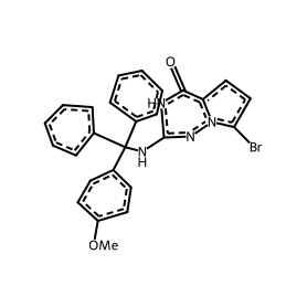 COc1ccc(C(Nc2nn3c(Br)ccc3c(=O)[nH]2)(c2ccccc2)c2ccccc2)cc1